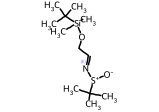 CC(C)(C)[S+]([O-])/N=C/CO[Si](C)(C)C(C)(C)C